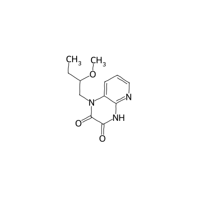 CCC(Cn1c(=O)c(=O)[nH]c2ncccc21)OC